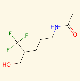 CC(=O)NCCCC(CO)C(F)(F)F